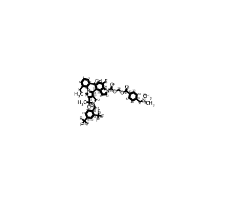 CCc1cccc(CC)c1-n1nc2c(c1-c1ccc(F)c3c1ccn3C(=O)OCOC(=O)c1ccc(CN(C)C)cc1)CN(Cc1ccc(C(F)(F)F)cc1C(F)(F)F)C2(C)C